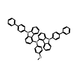 COc1ccc(N(c2cccc3c2c2ccccc2n3-c2ccc(-c3ccccc3)cc2)c2cccc3c2c2ccccc2n3-c2ccc(-c3ccccc3)cc2)cc1